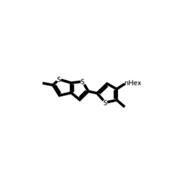 CCCCCCc1cc(-c2cc3cc(C)sc3s2)sc1C